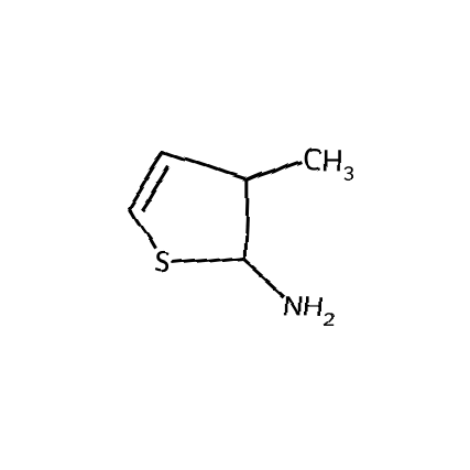 CC1C=CSC1N